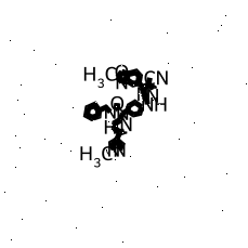 Cc1nc2cc(-c3nc(NC4CCC(N(C(=O)NCc5ccccc5)c5ccc(-c6cnn(C)c6)cn5)CC4)ncc3C#N)ccc2o1